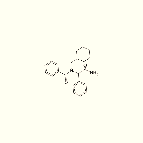 NC(=O)C(c1ccccc1)N(CC1CCCCC1)C(=O)c1ccccc1